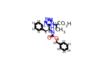 CC(C(=O)O)n1nnnc1[C@H](Cc1ccccc1)NC(=O)OCc1ccccc1